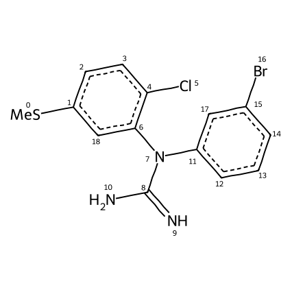 CSc1ccc(Cl)c(N(C(=N)N)c2cccc(Br)c2)c1